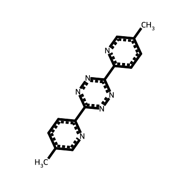 Cc1ccc(-c2nnc(-c3ccc(C)cn3)nn2)nc1